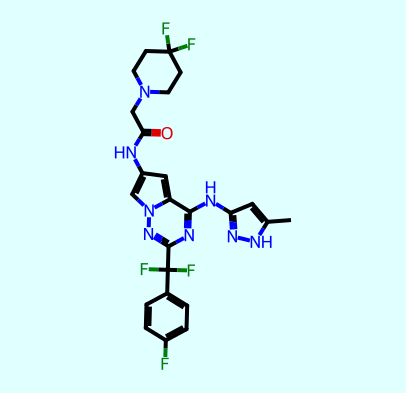 Cc1cc(Nc2nc(C(F)(F)c3ccc(F)cc3)nn3cc(NC(=O)CN4CCC(F)(F)CC4)cc23)n[nH]1